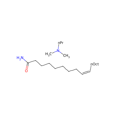 CCCCCCCC/C=C\CCCCCCCC(N)=O.CCCN(C)C